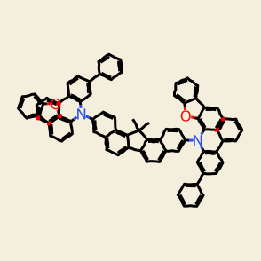 CC1(C)c2c(ccc3cc(N(c4cc(-c5ccccc5)ccc4-c4ccccc4)c4cccc5c4oc4ccccc45)ccc23)-c2ccc3cc(N(c4cc(-c5ccccc5)ccc4-c4ccccc4)c4cccc5c4oc4ccccc45)ccc3c21